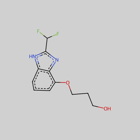 OCCCOc1cccc2[nH]c(C(F)F)nc12